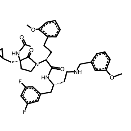 COc1cccc(CNCC[C@H](Cc2cc(F)cc(F)c2)NC(=O)[C@H](CCc2ccccc2OC)N2CC[C@@](CC3CC3)(NC(C)=O)C2=O)c1